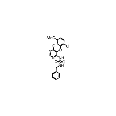 COc1ccc(Cl)c(Oc2c(Cl)ncnc2NS(=O)(=O)NCc2ccccc2)c1